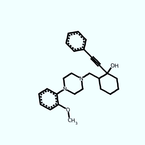 COc1ccccc1N1CCN(CC2CCCCC2(O)C#Cc2ccccc2)CC1